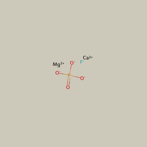 O=P([O-])([O-])[O-].[Ca+2].[F-].[Mg+2]